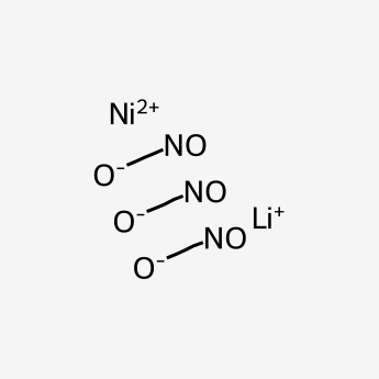 O=N[O-].O=N[O-].O=N[O-].[Li+].[Ni+2]